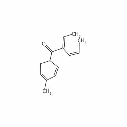 C/C=C\C(=C/C)C(=O)C1C=CC(C)=CC1